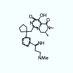 CNCCC(=N)c1cccc(C2(Cc3nc(=O)c(O)c4n3C[C@H](C)N(C)C4=O)CCCC2)c1